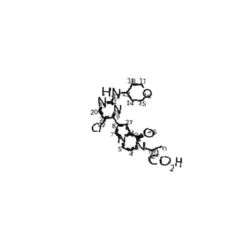 C[C@H](C(=O)O)n1ccn2cc(-c3nc(NC4CCOCC4)ncc3Cl)cc2c1=O